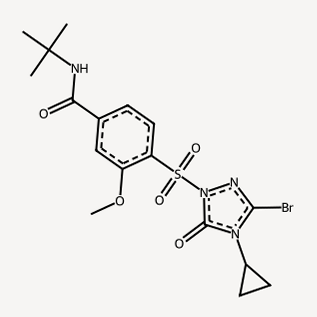 COc1cc(C(=O)NC(C)(C)C)ccc1S(=O)(=O)n1nc(Br)n(C2CC2)c1=O